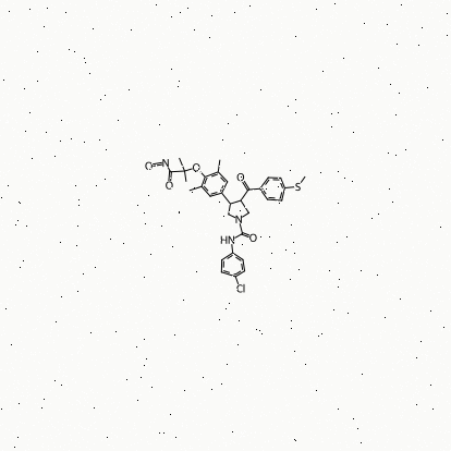 CSc1ccc(C(=O)C2CN(C(=O)Nc3ccc(Cl)cc3)CC2c2cc(C)c(OC(C)(C)C(=O)N=O)c(C)c2)cc1